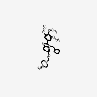 COc1cc(-c2nc3ccc(OCCN4CCN(C)CC4)cc3n2Cc2ccccc2)cc(OC)c1OC